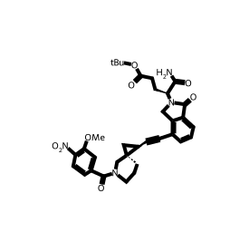 COc1cc(C(=O)N2CCC[C@@]3(C[C@H]3C#Cc3cccc4c3CN([C@@H](CCC(=O)OC(C)(C)C)C(N)=O)C4=O)C2)ccc1[N+](=O)[O-]